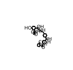 CS(=O)(=O)Nc1cc(O)ccc1[C@@H](O)CNCCc1ccc(NC2CCN(C(=O)N3CCC[C@H]3C(=O)O)CC2)cc1